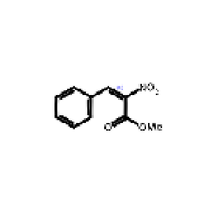 COC(=O)/C(=C\c1ccccc1)[N+](=O)[O-]